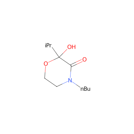 CCCCN1CCOC(O)(C(C)C)C1=O